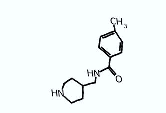 Cc1ccc(C(=O)NCC2CCNCC2)cc1